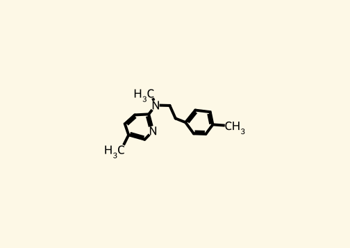 Cc1ccc(CCN(C)c2ccc(C)cn2)cc1